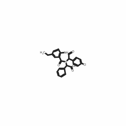 CCc1ccc2c(c1)C(=O)N(C(C(=O)O)c1ccccc1)C(c1ccc(Cl)cc1)C(=O)N2